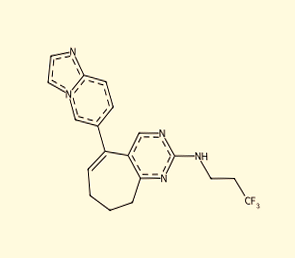 FC(F)(F)CCNc1ncc2c(n1)CCCC=C2c1ccc2nccn2c1